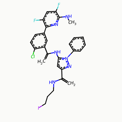 C=C(NCCCI)c1cc(NC(=C)c2cc(-c3nc(NC)c(F)cc3F)ccc2Cl)n(-c2ccccc2)n1